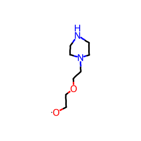 [O]CCOCCN1CCNCC1